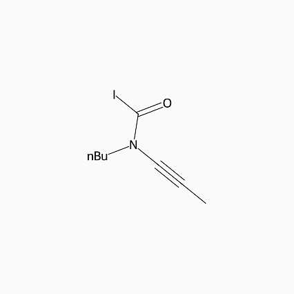 CC#CN(CCCC)C(=O)I